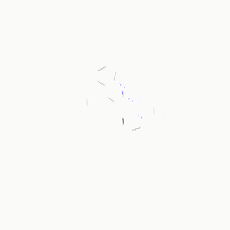 Cc1cc(NC2C=CC=CN2C)nc2ccccc12